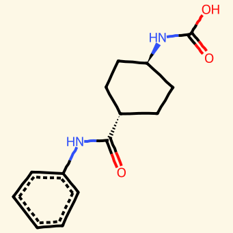 O=C(O)N[C@H]1CC[C@H](C(=O)Nc2ccccc2)CC1